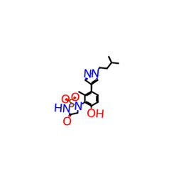 Cc1c(-c2cnn(CCC(C)C)c2)ccc(O)c1N1CC(=O)NS1(=O)=O